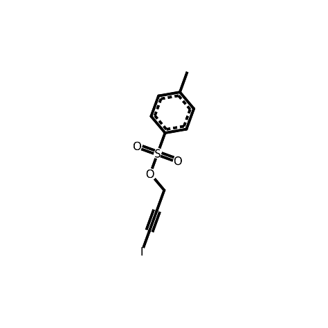 Cc1ccc(S(=O)(=O)OCC#CI)cc1